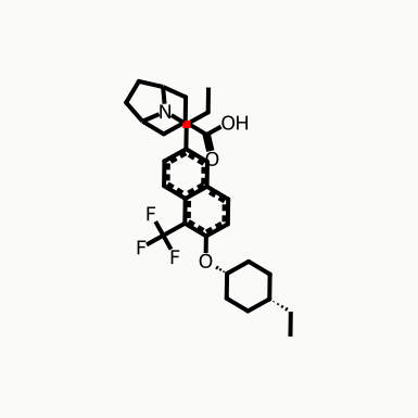 CCC(c1ccc2c(C(F)(F)F)c(O[C@H]3CC[C@@H](CC)CC3)ccc2c1)N1C2CCC1CC(C(=O)O)C2